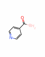 BC(=O)c1ccncc1